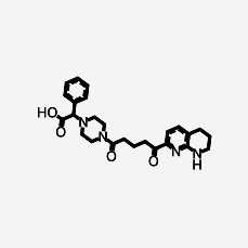 O=C(CCCC(=O)N1CCN(C(C(=O)O)c2ccccc2)CC1)c1ccc2c(n1)NCCC2